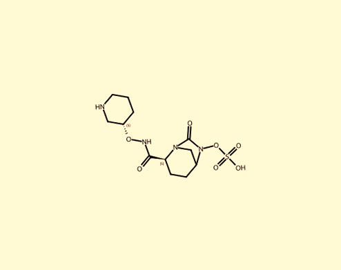 O=C(NO[C@H]1CCCNC1)[C@@H]1CCC2CN1C(=O)N2OS(=O)(=O)O